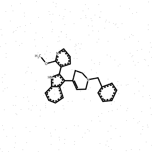 COc1ncccc1-c1[nH]c2ccccc2c1C1=CCN(Cc2ccccc2)CC1